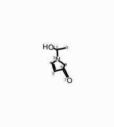 CC(O)N1C=CC(=O)C1